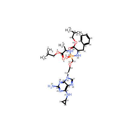 CC(C)COC(=O)C(C)NP(=O)(COCCn1cnc2c(NC3CC3)nc(N)nc21)NC(Cc1ccccc1)C(=O)OCC(C)C